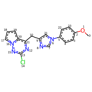 COc1ccc(-n2cnc(Cc3nc(Cl)nn4cccc34)c2)cc1